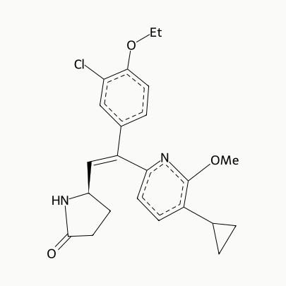 CCOc1ccc(C(=C[C@H]2CCC(=O)N2)c2ccc(C3CC3)c(OC)n2)cc1Cl